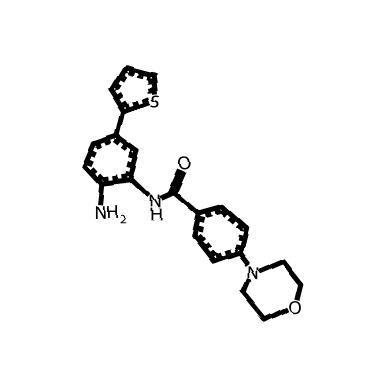 Nc1ccc(-c2cccs2)cc1NC(=O)c1ccc(N2CCOCC2)cc1